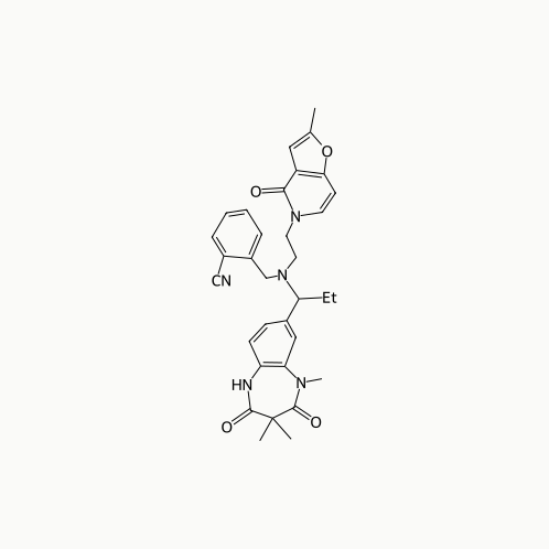 CCC(c1ccc2c(c1)N(C)C(=O)C(C)(C)C(=O)N2)N(CCn1ccc2oc(C)cc2c1=O)Cc1ccccc1C#N